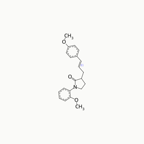 COc1ccc(/C=C/CC2CCN(c3ccccc3OC)C2=O)cc1